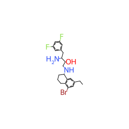 CCc1cc(Br)c2c(c1)[C@@H](NC[C@@H](O)[C@@H](N)Cc1cc(F)cc(F)c1)CCC2